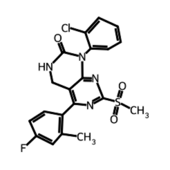 Cc1cc(F)ccc1-c1nc(S(C)(=O)=O)nc2c1CNC(=O)N2c1ccccc1Cl